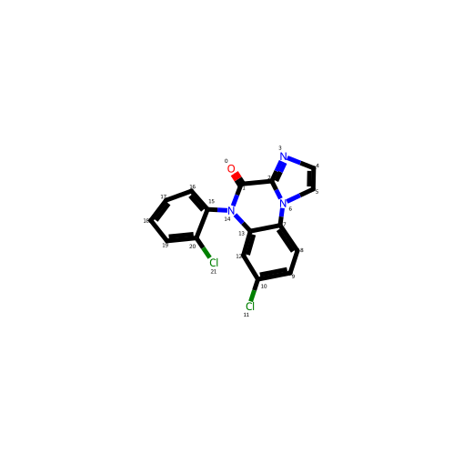 O=c1c2nccn2c2ccc(Cl)cc2n1-c1ccccc1Cl